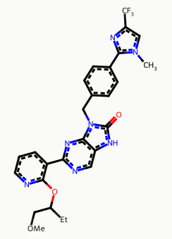 CCC(COC)Oc1ncccc1-c1ncc2[nH]c(=O)n(Cc3ccc(-c4nc(C(F)(F)F)cn4C)cc3)c2n1